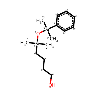 C[Si](C)(CCCCO)O[Si](C)(C)c1ccccc1